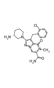 Cn1c(C(N)=O)cn2nc(N3CCC[C@@H](N)C3)c(Cc3ccccc3Cl)c2c1=O